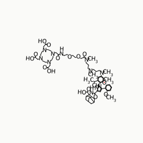 COc1cccc(OC)c1-c1cc(C(=O)NC2(C(=O)O)C3CC4CC(C3)CC2C4)nn1-c1ccc(N(C)CCCN(C)CCCN(C)C(=O)COCCOCCNC(=O)CN2CCN(CC(=O)O)CCN(CC(=O)O)CCN(CC(=O)O)CC2)cc1C(C)C